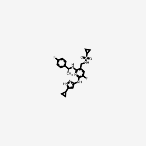 C[C@H](Nc1nc(Nc2cc(C3CC3)[nH]n2)c(F)cc1CNS(=O)(=O)C1CC1)c1ccc(F)cc1